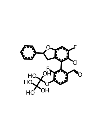 O=Cc1ccc(OC(O)(O)C(O)(O)O)c(F)c1-c1c(Cl)c(F)cc2c1CC(c1ccccc1)O2